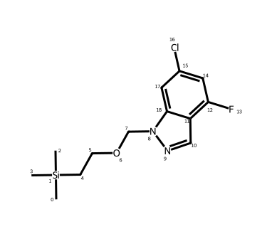 C[Si](C)(C)CCOCn1ncc2c(F)cc(Cl)cc21